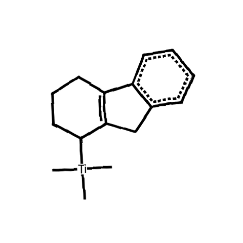 [CH3][Ti]([CH3])([CH3])[CH]1CCCC2=C1Cc1ccccc12